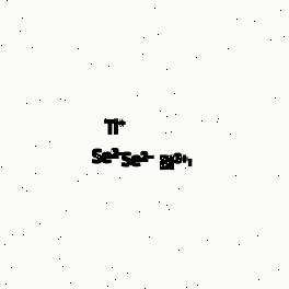 [Bi+3].[Se-2].[Se-2].[Tl+]